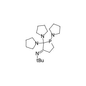 CC(C)(C)N=C1CCP(N2CCCC2)C1(N1CCCC1)N1CCCC1